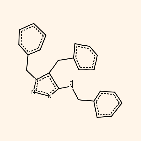 c1ccc(CNc2nnn(Cc3ccccc3)c2Cc2ccccc2)cc1